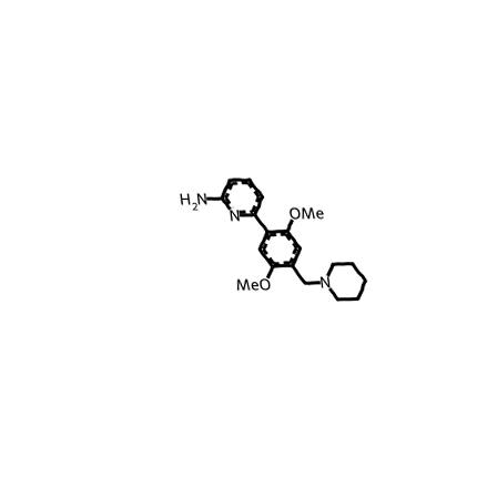 COc1cc(-c2cccc(N)n2)c(OC)cc1CN1CCCCC1